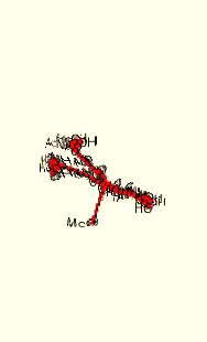 COC(=O)CCCCCCCCCCC(=O)NC(COCCC(=O)NCCCNC(=O)CCCCOC1OC(CO)C(O)C(O)C1NC(C)=O)(COCCC(=O)NCCCNC(=O)CCCCOC1OC(CO)C(O)C(O)C1NC(C)=O)COCCC(=O)NCCCNC(=O)CCCCOC1OC(CO)C(O)C(O)C1NC(C)=O